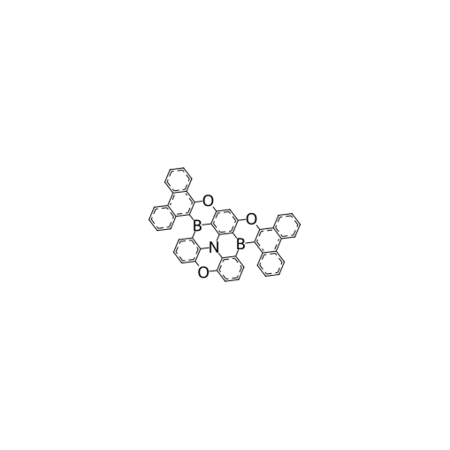 c1cc2c3c(c1)B1c4c(cc5c6c4N3c3c(cccc3B6c3c(c4ccccc4c4ccccc34)O5)O2)Oc2c1c1ccccc1c1ccccc21